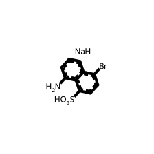 Nc1cccc2c(Br)ccc(S(=O)(=O)O)c12.[NaH]